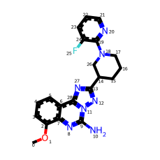 COc1cccc2c1nc(N)n1nc(C3CCCN(c4ncccc4F)C3)nc21